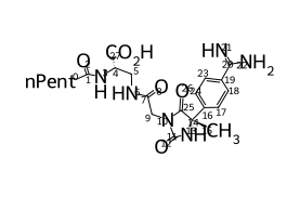 CCCCCC(=O)N[C@@H](CNC(=O)CN1C(=O)N[C@@](C)(c2ccc(C(=N)N)cc2)C1=O)C(=O)O